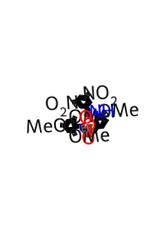 COc1cc(OC)c(/C=C/S(=O)(=O)Cc2ccc(OC)c(NC(=O)c3cc([N+](=O)[O-])cc([N+](=O)[O-])c3)c2)c(OC)c1